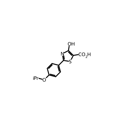 CC(C)Oc1ccc(-c2nc(O)c(C(=O)O)s2)cc1